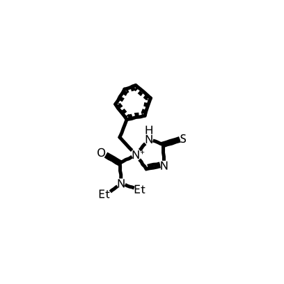 CCN(CC)C(=O)[N+]1(Cc2ccccc2)C=NC(=S)N1